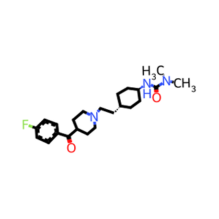 CN(C)C(=O)N[C@H]1CC[C@H](CCN2CCC(C(=O)c3ccc(F)cc3)CC2)CC1